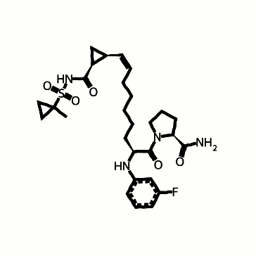 CC1(S(=O)(=O)NC(=O)[C@H]2C[C@H]2/C=C\CCCCC[C@H](Nc2cccc(F)c2)C(=O)N2CCC[C@H]2C(N)=O)CC1